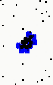 c1ccc2c(c1)c1c3c4ccccc4n(-c4cc(-c5cc(-n6cnnn6)cc(-n6cnnn6)c5)cc(-c5cc(-n6cnnn6)cc(-n6cnnn6)c5)c4)c3ccc1n2-c1cc(-c2cc(-n3cnnn3)cc(-n3cnnn3)c2)cc(-c2cc(-n3cnnn3)cc(-n3cnnn3)c2)c1